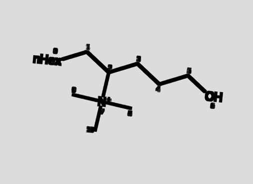 CCCCCCCC(CCCO)[N+](C)(C)C